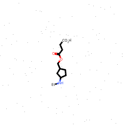 CCNC1CCC(COC(=O)CCC(=O)O)C1